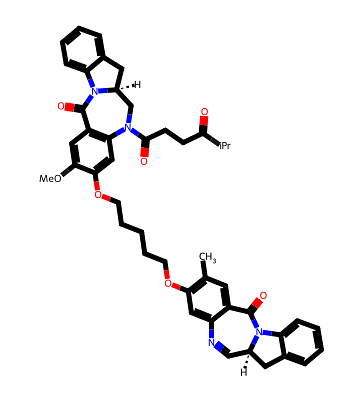 COc1cc2c(cc1OCCCCCOc1cc3c(cc1C)C(=O)N1c4ccccc4C[C@H]1C=N3)N(C(=O)CCC(=O)C(C)C)C[C@@H]1Cc3ccccc3N1C2=O